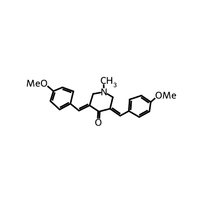 COc1ccc(C=C2CN(C)CC(=Cc3ccc(OC)cc3)C2=O)cc1